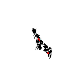 COc1cc(CN2CCN(C3CC4(CCN(c5ccc(C(=O)NS(=O)(=O)c6ccc(NC[C@H]7CC[C@](C)(O)CC7)c([N+](=O)[O-])c6)c(N6c7cc8cc[nH]c8nc7O[C@H]7COCC[C@@H]76)c5)CC4)C3)[C@@H](c3ccccc3OC(C)C)C2)cnc1N1CCOC[C@@H]1C